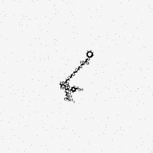 CC(C)[C@H](NC(=O)CCOCCOCCOCCOCCNC(=O)COC1C#CCCCCC1)C(=O)N[C@@H](CCCNC(N)=O)C(=O)Nc1ccc(CO)cc1